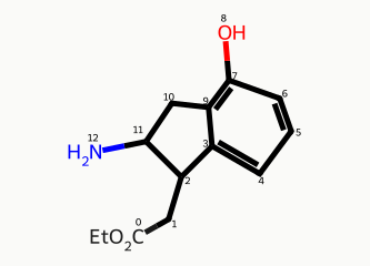 CCOC(=O)CC1c2cccc(O)c2CC1N